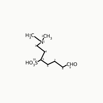 CN(C)CCC(CCCC=O)S(=O)(=O)O